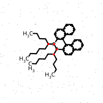 CCCCCCP(CCCCCC)c1ccc2ccccc2c1-c1c(P(CCCCCC)CCCCCC)ccc2ccccc12